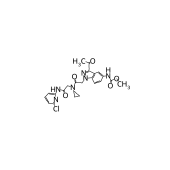 COC(=O)Nc1ccc2c(c1)c(C(C)=O)nn2CC(=O)N(CC(=O)Nc1cccc(Cl)n1)C1CC1